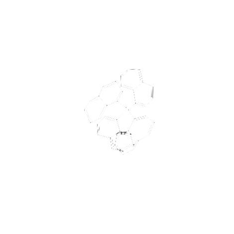 c1ccc2c([N+](c3cccc4ccccc34)(c3cccc4ccccc34)c3cccc4ccccc34)cccc2c1